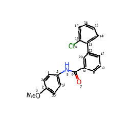 COc1ccc(NC(=O)c2cccc(-c3ccccc3Cl)c2)cc1